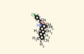 C=C1C(C#N)=CC2(C)C3=CC(=C)C4C5CC(C)(C)CCC5(NC(=O)/C=C(\C#N)c5ccc(Cl)cc5)CCC4C3(C)CCC2C1C